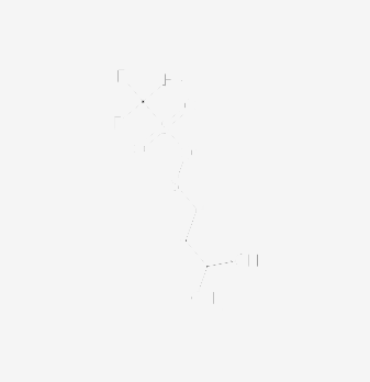 CC(C)CCSOS(=O)(=O)C(F)(F)F